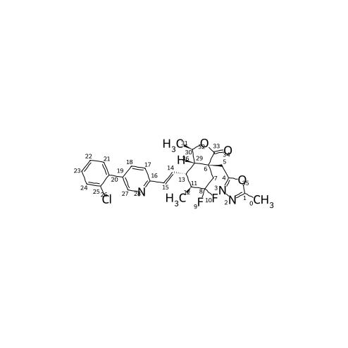 Cc1nnc(C[C@@]23CC(F)(F)[C@@H](C)[C@H](/C=C/c4ccc(-c5ccccc5Cl)cn4)[C@@H]2[C@@H](C)OC3=O)o1